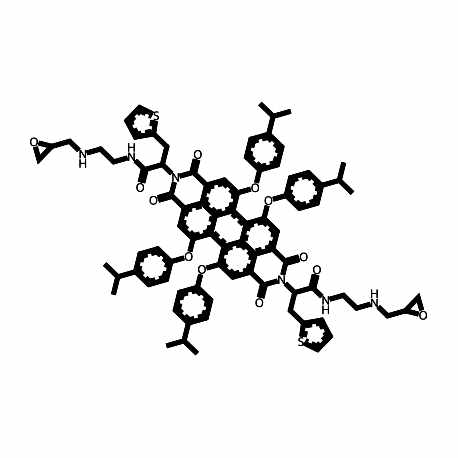 CC(C)c1ccc(Oc2cc3c4c(cc(Oc5ccc(C(C)C)cc5)c5c6c(Oc7ccc(C(C)C)cc7)cc7c8c(cc(Oc9ccc(C(C)C)cc9)c(c2c45)c86)C(=O)N(C(Cc2cccs2)C(=O)NCCNCC2CO2)C7=O)C(=O)N(C(Cc2cccs2)C(=O)NCCNCC2CO2)C3=O)cc1